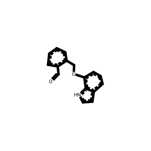 O=Cc1ccccc1COc1cccc2cc[nH]c12